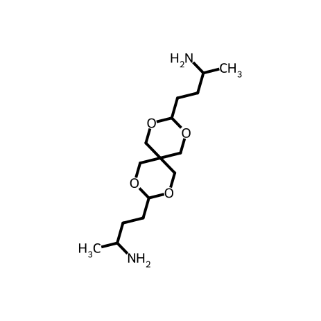 CC(N)CCC1OCC2(CO1)COC(CCC(C)N)OC2